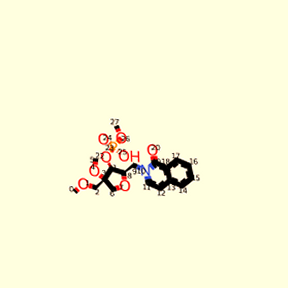 COC[C@]1(OC)CO[C@H](Cn2ccc3ccccc3c2=O)[C@@H]1OP(=O)(O)OC